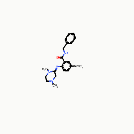 CN1CCN(C)/C(=N/c2ccc([N+](=O)[O-])cc2C(=O)NCc2ccccc2)C1